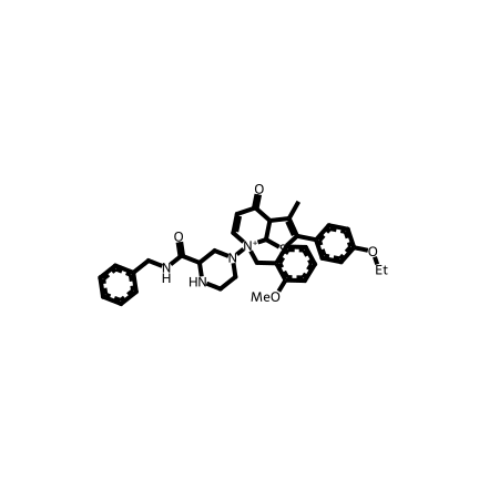 CCOc1ccc(C2=C(C)C3C(=O)C=C[N+](Cc4ccccc4OC)(N4CCNC(C(=O)NCc5ccccc5)C4)C3S2)cc1